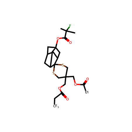 CCC(=O)OCC1(COC(=O)CC(F)(F)F)CSC2(SC1)C1CC3CC2CC(OC(=O)C(C)(C)F)(C3)C1